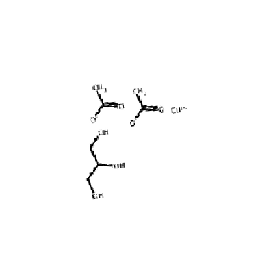 CC(=O)[O-].CC(=O)[O-].OCC(O)CO.[Cu+2]